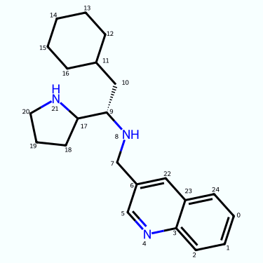 c1ccc2ncc(CN[C@@H](CC3CCCCC3)C3CCCN3)cc2c1